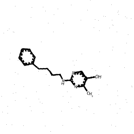 Cc1nc(NCCCCc2ccccc2)ncc1O